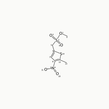 COS(=O)(=O)Cc1cc([N+](=O)[O-])c(C)s1